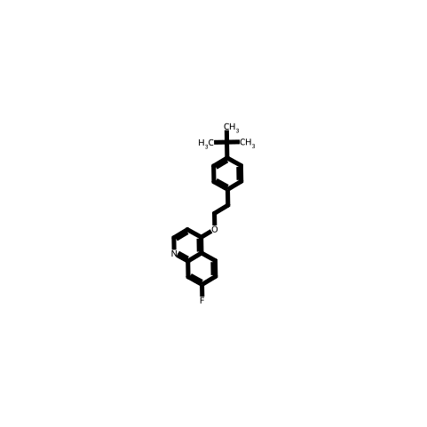 CC(C)(C)c1ccc(CCOc2ccnc3cc(F)ccc23)cc1